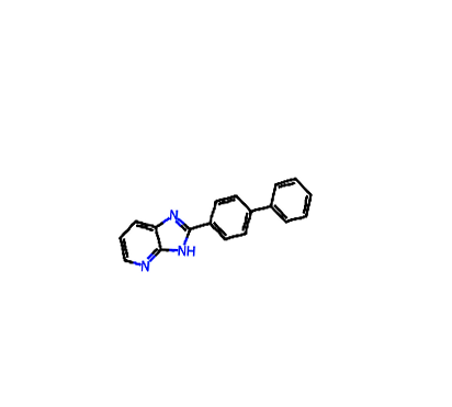 c1ccc(-c2ccc(-c3nc4cccnc4[nH]3)cc2)cc1